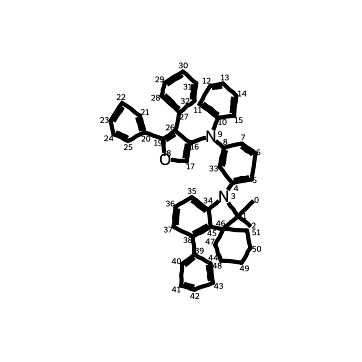 CC1(C)N(c2cccc(N(c3ccccc3)c3coc(-c4ccccc4)c3-c3ccccc3)c2)c2cccc(-c3ccccc3)c2C12CCCCC2